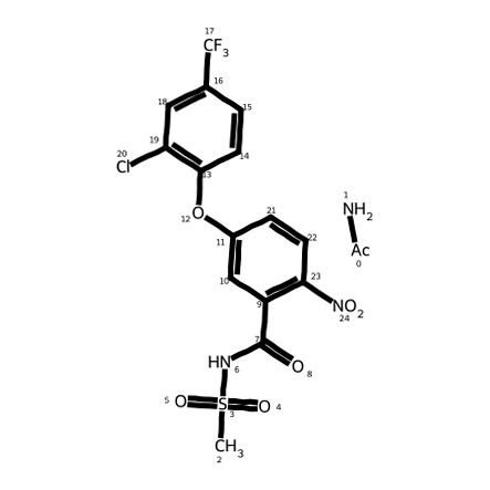 CC(N)=O.CS(=O)(=O)NC(=O)c1cc(Oc2ccc(C(F)(F)F)cc2Cl)ccc1[N+](=O)[O-]